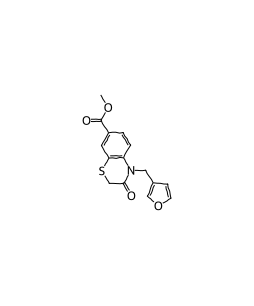 COC(=O)c1ccc2c(c1)SCC(=O)N2Cc1ccoc1